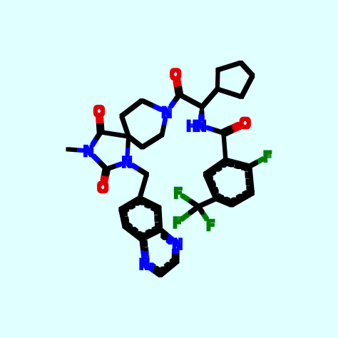 CN1C(=O)N(Cc2ccc3nccnc3c2)C2(CCN(C(=O)[C@H](NC(=O)c3cc(C(F)(F)F)ccc3F)C3CCCC3)CC2)C1=O